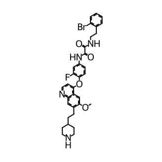 COc1cc2c(Oc3ccc(NC(=O)C(=O)NCCc4ccccc4Br)cc3F)ccnc2cc1CCC1CCNCC1